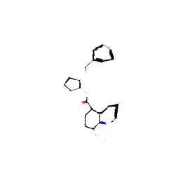 O=C(N[C@H]1CCC[C@@H]1OCc1ccccc1)[C@]1(F)CC[C@H](O)c2ncccc21